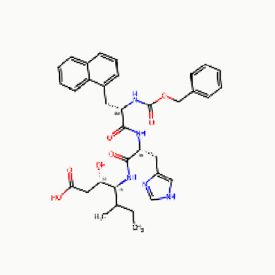 CCC(C)[C@H](NC(=O)[C@@H](Cc1c[nH]cn1)NC(=O)[C@H](Cc1cccc2ccccc12)NC(=O)OCc1ccccc1)[C@@H](O)CC(=O)O